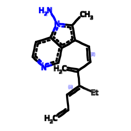 C=C/C=C(\CC)C(=C)/C=C\c1c(C)n(N)c2ccncc12